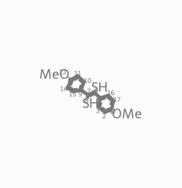 COc1ccc(/C(S)=C(\S)c2ccc(OC)cc2)cc1